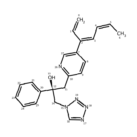 C=C/C(=C\C=C/C)c1ccc(C[C@](O)(Cn2cnnn2)c2ccccc2)nc1